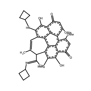 COc1c(O)c2c(=O)cc(OC)c3c4c(OC)cc(=O)c5c(O)c(NC6CCC6)c6c(c(c1C(/C(C)=N/C1CCC1)C(C)=C6)c23)c54